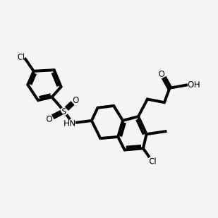 Cc1c(Cl)cc2c(c1CCC(=O)O)CCC(NS(=O)(=O)c1ccc(Cl)cc1)C2